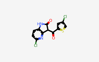 O=C1Nc2ccc(Cl)nc2C1C(=O)c1cc(Cl)cs1